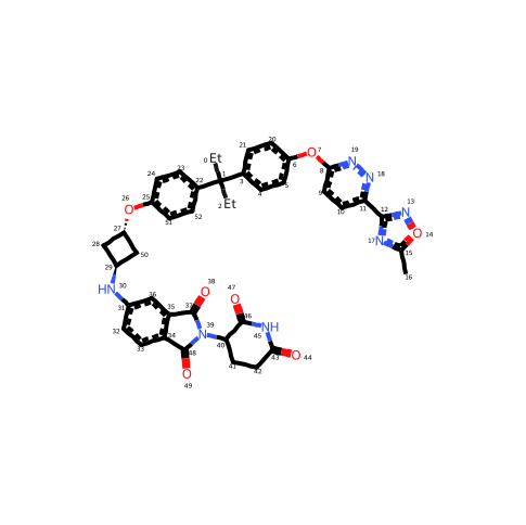 CCC(CC)(c1ccc(Oc2ccc(-c3noc(C)n3)nn2)cc1)c1ccc(O[C@H]2C[C@H](Nc3ccc4c(c3)C(=O)N(C3CCC(=O)NC3=O)C4=O)C2)cc1